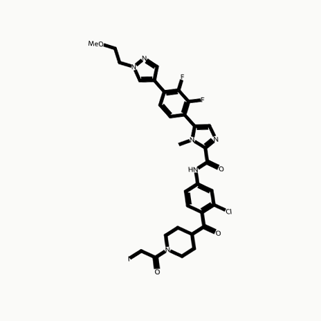 COCCn1cc(-c2ccc(-c3cnc(C(=O)Nc4ccc(C(=O)C5CCN(C(=O)CI)CC5)c(Cl)c4)n3C)c(F)c2F)cn1